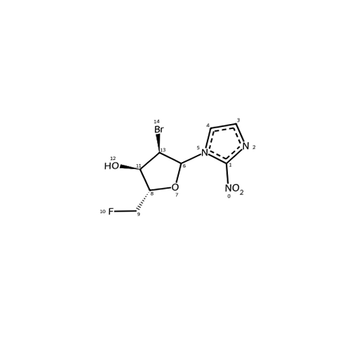 O=[N+]([O-])c1nccn1C1O[C@H](CF)[C@@H](O)[C@H]1Br